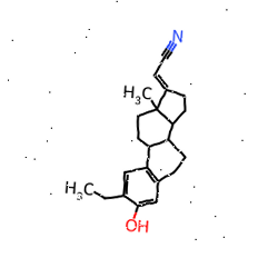 CCc1cc2c(cc1O)CCC1C2CCC2(C)/C(=C/C#N)CCC12